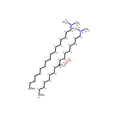 CCCCCCCCCCCCCCCCCCCCCCCCCCN(C)C.CCCCCCCCCCCCCCCCCCCCCCCCCCN(C)C.O=S(=O)(O)O